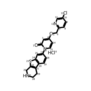 Cl.O=c1cc(OCc2ccc(Cl)cn2)ccn1-c1ccc2c3c(sc2c1)CNCC3